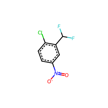 O=[N+]([O-])c1ccc(Cl)c(C(F)F)c1